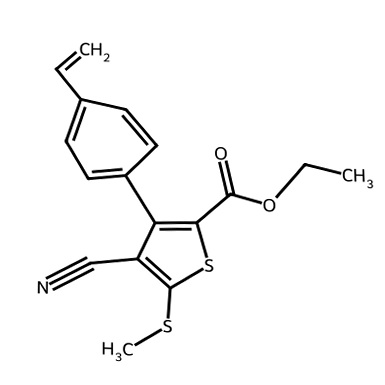 C=Cc1ccc(-c2c(C(=O)OCC)sc(SC)c2C#N)cc1